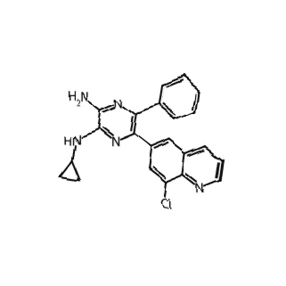 Nc1nc(-c2ccccc2)c(-c2cc(Cl)c3ncccc3c2)nc1NC1CC1